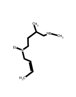 CBCC(C)CCN(CC)C/C=C\C